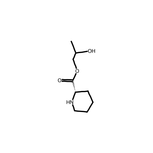 CC(O)COC(=O)[C@@H]1CCCCN1